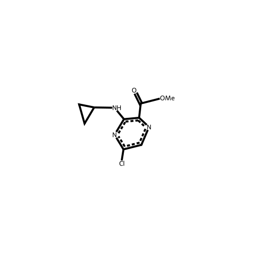 COC(=O)c1ncc(Cl)nc1NC1CC1